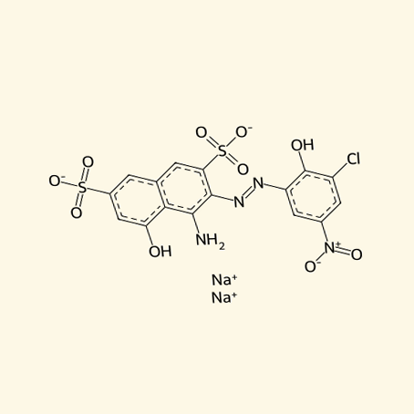 Nc1c(N=Nc2cc([N+](=O)[O-])cc(Cl)c2O)c(S(=O)(=O)[O-])cc2cc(S(=O)(=O)[O-])cc(O)c12.[Na+].[Na+]